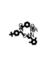 Cc1cccc(C)c1-c1cc2nc(n1)NS(=O)(=O)c1cccc(c1)C(=O)N(C)C(c1ccc(C(C)(C)C)cc1)CO2